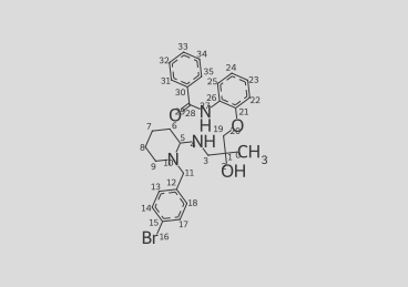 CC(O)(CNC1CCCCN1Cc1ccc(Br)cc1)COc1ccccc1NC(=O)c1ccccc1